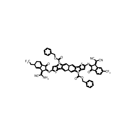 N#CC(C#N)=C1/C(=N/c2cc3c(s2)c2c(n3C(=O)OCc3ccccc3)=CC3C=c4c(n(C(=O)OCc5ccccc5)c5cc(/N=C6\C(=O)C7=CCC(CC(F)(F)F)C=C7\C6=C(\N)C#N)sc45)=CC3C=2)C(=O)c2ccc(C(F)(F)F)cc21